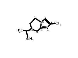 CC(N)N1CCn2cc(C(F)(F)F)nc2C1